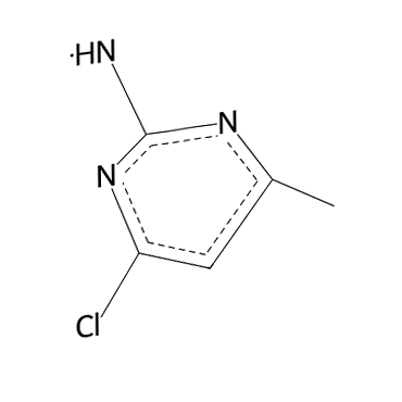 Cc1cc(Cl)nc([NH])n1